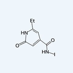 CCc1cc(C(=O)NI)cc(=O)[nH]1